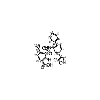 Cc1oncc1-c1ccc(-c2cccnc2)c(NS(=O)(=O)c2cc(C(=O)O)ccc2C2CC2)c1